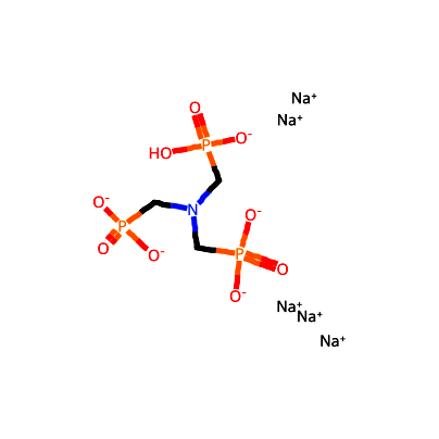 O=P([O-])([O-])CN(CP(=O)([O-])[O-])CP(=O)([O-])O.[Na+].[Na+].[Na+].[Na+].[Na+]